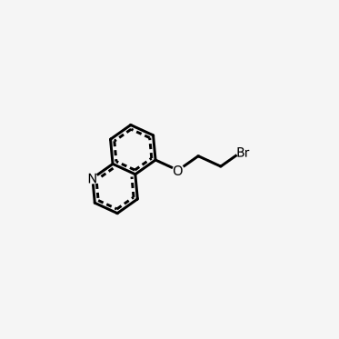 BrCCOc1cccc2ncccc12